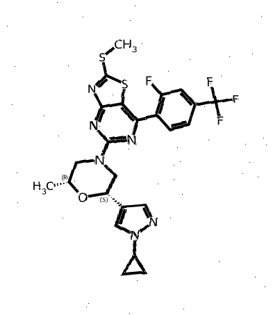 CSc1nc2nc(N3C[C@@H](C)O[C@@H](c4cnn(C5CC5)c4)C3)nc(-c3ccc(C(F)(F)F)cc3F)c2s1